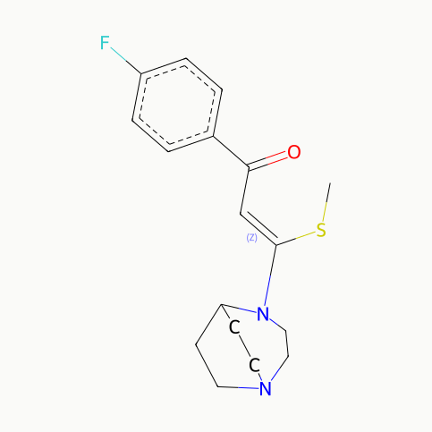 CS/C(=C\C(=O)c1ccc(F)cc1)N1CCN2CCC1CC2